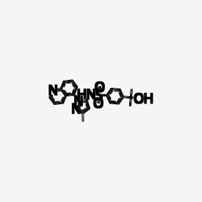 Cc1cc(NS(=O)(=O)c2ccc(C(C)(C)O)cc2)n(-c2cccc3ncccc23)n1